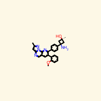 COc1ccccc1-c1cc2cnc3cc(C)nn3c2nc1-c1ccc([C@]2(N)C[C@@](C)(O)C2)cc1